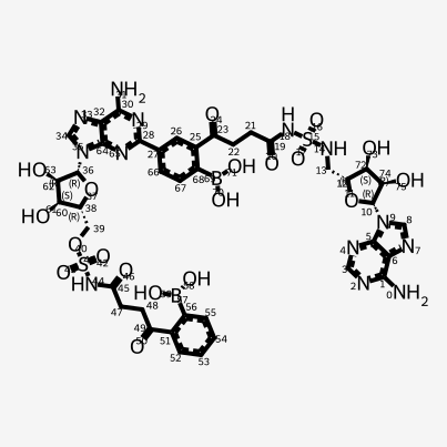 Nc1ncnc2c1ncn2[C@@H]1O[C@H](CNS(=O)(=O)NC(=O)CCC(=O)c2cc(-c3nc(N)c4ncn([C@@H]5O[C@H](COS(=O)(=O)NC(=O)CCC(=O)c6ccccc6B(O)O)[C@@H](O)[C@H]5O)c4n3)ccc2B(O)O)[C@@H](O)[C@H]1O